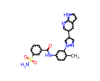 Cc1ccc(NC(=O)c2cccc(S(N)(=O)=O)c2)cc1-n1cc(-c2cnc3[nH]ccc3c2)cn1